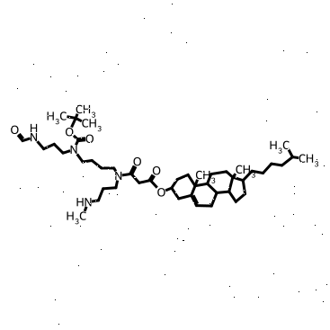 CNCCCN(CCCCN(CCCNC=O)C(=O)OC(C)(C)C)C(=O)CC(=O)OC1CCC2(C)C(=CCC3C2CCC2(C)C(CCCCC(C)C)CCC32)C1